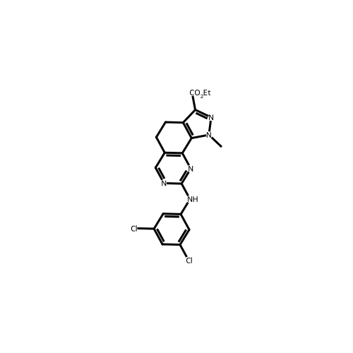 CCOC(=O)c1nn(C)c2c1CCc1cnc(Nc3cc(Cl)cc(Cl)c3)nc1-2